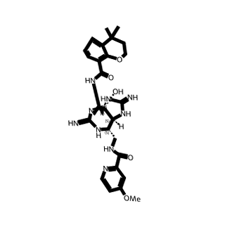 COc1ccnc(C(=O)NC[C@@H]2NC(=N)N3CC(NC(=O)c4cccc5c4OCCC5(C)C)[C@@H](O)[C@@]34NC(=N)N[C@@H]24)c1